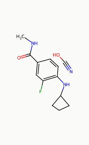 CNC(=O)c1ccc(NC2CCC2)c(F)c1.N#CO